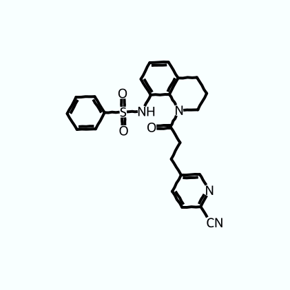 N#Cc1ccc(CCC(=O)N2CCCc3cccc(NS(=O)(=O)c4ccccc4)c32)cn1